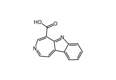 O=C(O)c1cnccc2c3ccccc3nc1-2